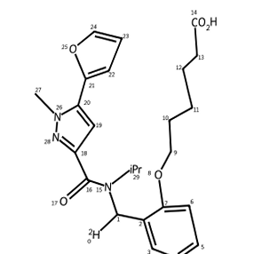 [2H]C(c1ccccc1OCCCCCC(=O)O)N(C(=O)c1cc(-c2ccco2)n(C)n1)C(C)C